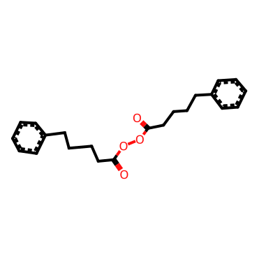 O=C(CCCCc1ccccc1)OOC(=O)CCCCc1ccccc1